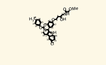 COCC(=O)NCC(O)CCOc1ccc([C@H]2C3=C(CCN2C(=O)Oc2ccc(C)cc2)C2C=C(Cl)C=CC2N3)cc1